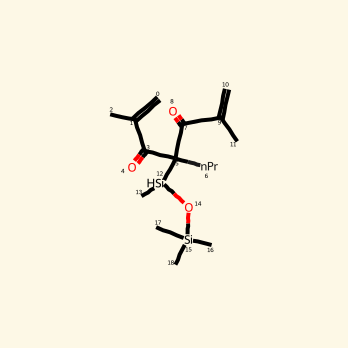 C=C(C)C(=O)C(CCC)(C(=O)C(=C)C)[SiH](C)O[Si](C)(C)C